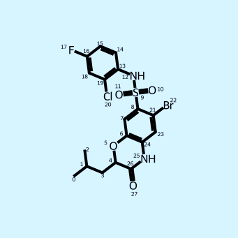 CC(C)CC1Oc2cc(S(=O)(=O)Nc3ccc(F)cc3Cl)c(Br)cc2NC1=O